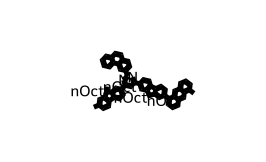 CCCCCCCCC1(CCCCCCCC)c2cc(C)ccc2-c2ccc(-c3cc(-c4ccc5c(c4)C(CCCCCCCC)(CCCCCCCC)c4cc(-c6cccc7cc8c(C)cccc8cc67)ccc4-5)nc(-c4ccc5ccc6ccccc6c5c4)n3)cc21